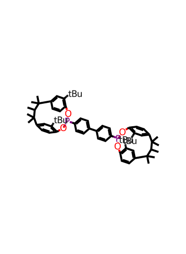 CC1C(C)(C)c2ccc(c(C(C)(C)C)c2)OP(c2ccc(-c3ccc(P4Oc5ccc(cc5C(C)(C)C)C(C)(C)C(C)C(C)(C)c5ccc(c(C(C)(C)C)c5)O4)cc3)cc2)Oc2ccc(cc2C(C)(C)C)C1(C)C